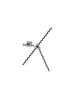 CCCCCCCCCCCCCCCCOB(OCCCCCCCCCCCCCCCC)OCCCCCCCCCCCCCCCC.OB(O)O